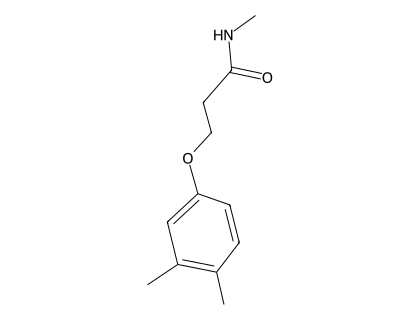 CNC(=O)CCOc1ccc(C)c(C)c1